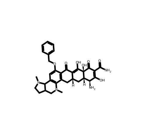 CN1CC2CCN(C)C2c2cc(OCc3ccccc3)c3c(c21)C[C@H]1C[C@H]2[C@H](N)C(O)=C(C(N)=O)C(=O)[C@@]2(O)C(O)=C1C3=O